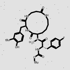 CN(C(=O)[C@H](Cc1ccc(F)cc1)NC(=O)OC(C)(C)C)C1CCCCNC(=O)CCNC(=O)C(Cc2ccc(O)c(C(C)(C)C)c2)NC1=O